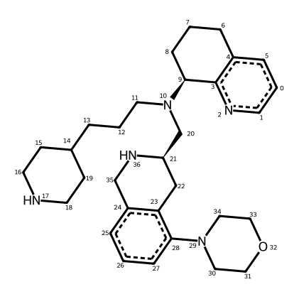 c1cnc2c(c1)CCC[C@@H]2N(CCCC1CCNCC1)C[C@H]1Cc2c(cccc2N2CCOCC2)CN1